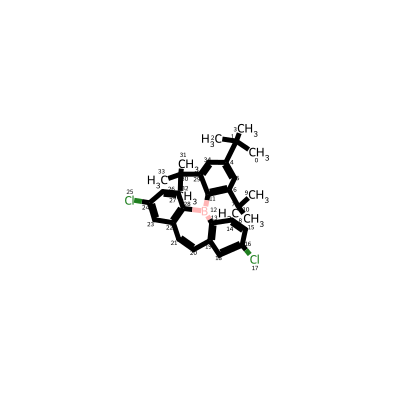 CC(C)(C)c1cc(C(C)(C)C)c(B2c3ccc(Cl)cc3C=Cc3cc(Cl)ccc32)c(C(C)(C)C)c1